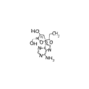 CCC(=O)[C@]1(n2cnc3c(N)ncnc32)C[C@H](O)[C@@H](CO)O1